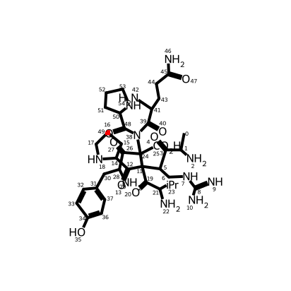 CC(N)C(=O)C(CNC(=N)N)C(C(=O)C1CCCN1)(C(=O)C(N)C(C)C)C(C(=O)O)(C(=O)C(N)Cc1ccc(O)cc1)N(C(=O)C(N)CCC(N)=O)C(=O)C1CCCN1